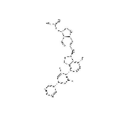 Cc1cc(-c2cncnc2)cc(C)c1-c1ccc(F)c2c1CC[C@H]2Oc1ccc2c(c1)OCC2CC(=O)O